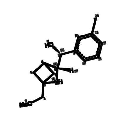 COCC12CC(C1)[C@H]([C@H](O)c1cccc(F)c1)N2